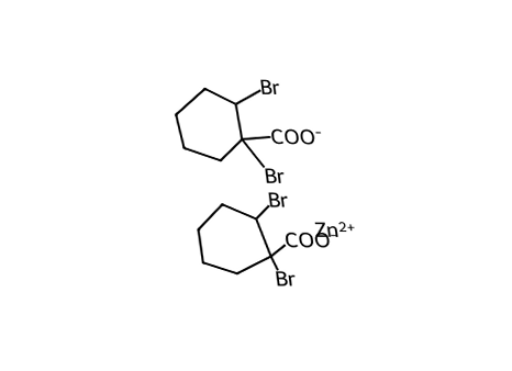 O=C([O-])C1(Br)CCCCC1Br.O=C([O-])C1(Br)CCCCC1Br.[Zn+2]